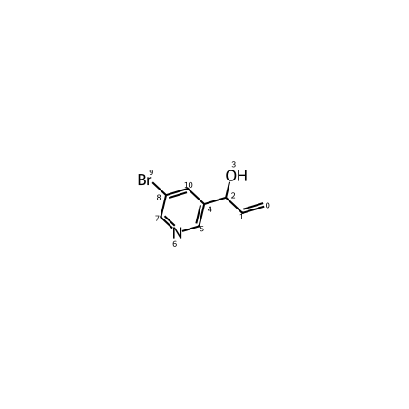 C=CC(O)c1cncc(Br)c1